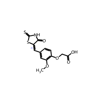 COc1cc(/C=C2/SC(=S)NC2=O)ccc1OCC(=O)O